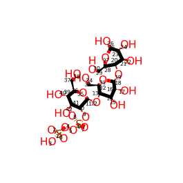 O=S(=O)(O)OOS(=O)(=O)O[C@H]1[C@@H](O[C@H]2[C@H](O)[C@@H](O)[C@@H](O[C@H]3[C@H](O)[C@@H](O)C(O)O[C@@H]3CO)O[C@@H]2CO)O[C@H](CO)[C@@H](O)[C@@H]1O